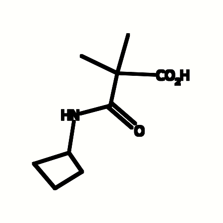 CC(C)(C(=O)O)C(=O)NC1CCC1